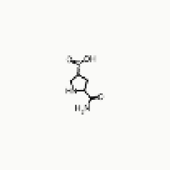 NC(=O)C1CC(S(=O)O)CN1